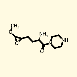 COC1OC1CC[C@H](N)C(=O)N1CCNCC1